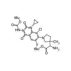 CC(C)(C)OC(=O)Nn1c(=O)c2cc(F)c(N3CCC(C)(C(N)C(=O)OC(C)(C)C)C3)c(Cl)c2n(C2CC2)c1=O